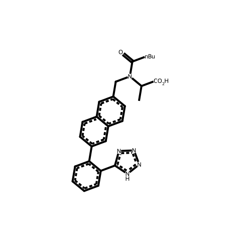 CCCCC(=O)N(Cc1ccc2cc(-c3ccccc3-c3nnn[nH]3)ccc2c1)C(C)C(=O)O